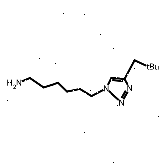 CC(C)(C)Cc1cn(CCCCCCN)nn1